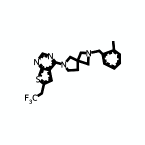 Cc1ccccc1CN1CC2(CCN(c3ncnc4sc(CC(F)(F)F)cc34)C2)C1